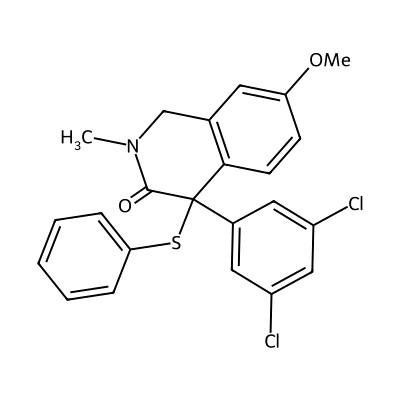 COc1ccc2c(c1)CN(C)C(=O)C2(Sc1ccccc1)c1cc(Cl)cc(Cl)c1